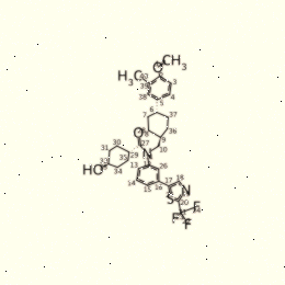 COc1ccc([C@H]2CC[C@H](CN(c3cccc(-c4cnc(C(F)(F)F)s4)c3)C(=O)[C@H]3CC[C@H](O)CC3)CC2)cc1C